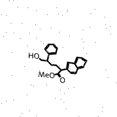 COC(=O)C(CCC(CO)c1ccccc1)c1ccc2ccccc2c1